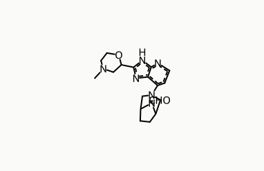 CN1CCOC(c2nc3c(N4CC5CCC(C4)N5C=O)ccnc3[nH]2)C1